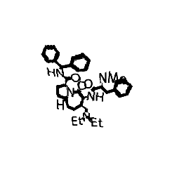 CCN(CC)C[C@H]1CC[C@H]2CC[C@@H](C(=O)NC(c3ccccc3)c3ccccc3)N2C(=O)[C@H]1NC(=O)[C@@H](Cc1ccccc1)NC